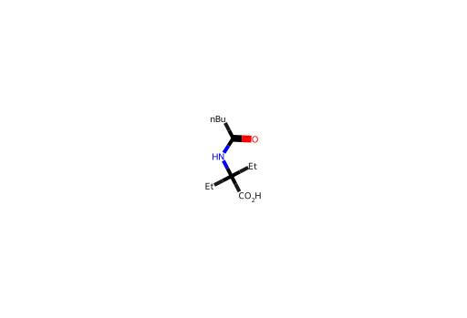 CCCCC(=O)NC(CC)(CC)C(=O)O